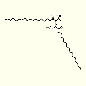 CCCCCCCCCCCCCCCCCC(=O)C(C(C)O)[N+](C)(C)C(C(=O)CCCCCCCCCCCCCCCCC)C(C)O